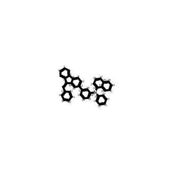 C(=C1\c2ccccc2-c2ccc(-c3cccc(N(c4ccccc4)c4cccc5ccccc45)c3)cc21)/c1ccccc1